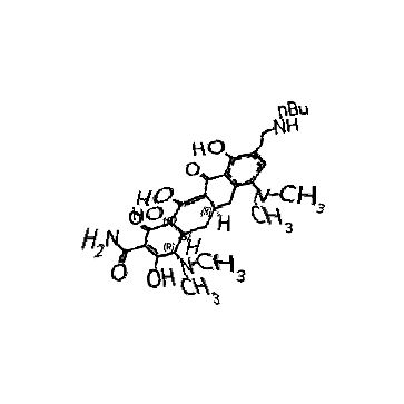 CCCCNCc1cc(N(C)C)c2c(c1O)C(=O)C1=C(O)[C@]3(O)C(=O)C(C(N)=O)=C(O)[C@H](N(C)C)[C@@H]3C[C@@H]1C2